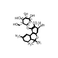 CCCc1cc2c(c(O[C@H]3O[C@H](O)[C@@H](O)[C@H](O)[C@H]3CO)c1C(=O)O)C1C=C(C)CCC1C(C)(C)O2